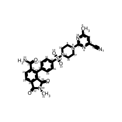 Cc1cc(C#N)nc(N2CCN(S(=O)(=O)c3ccc(-c4c(C(N)=O)ccc5c4C(=O)N(C)C5=O)cc3)CC2)n1